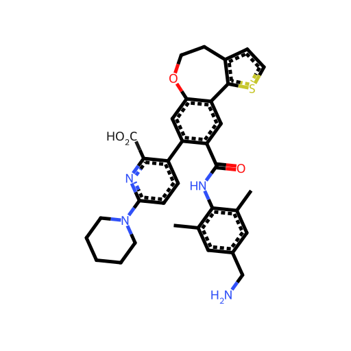 Cc1cc(CN)cc(C)c1NC(=O)c1cc2c(cc1-c1ccc(N3CCCCC3)nc1C(=O)O)OCCc1ccsc1-2